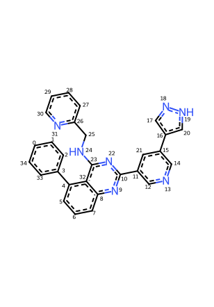 c1ccc(-c2cccc3nc(-c4cncc(-c5cn[nH]c5)c4)nc(NCc4ccccn4)c23)cc1